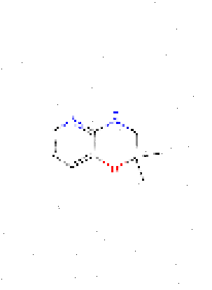 CC1(C)CNc2ncccc2O1